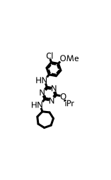 COc1ccc(Nc2nc(NC3CCCCCC3)nc(OC(C)C)n2)cc1Cl